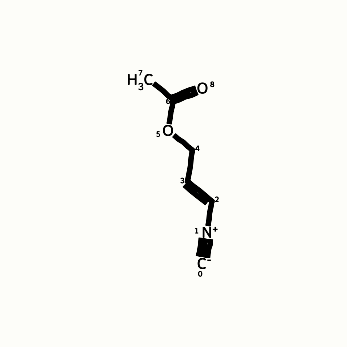 [C-]#[N+]C=CCOC(C)=O